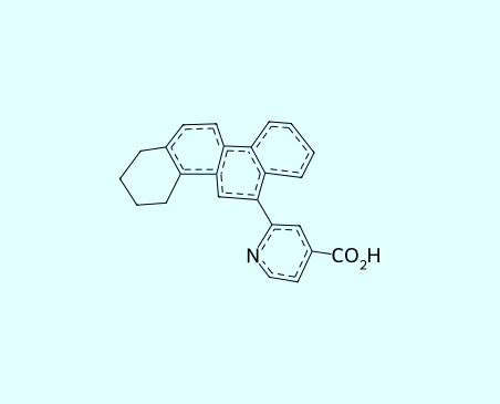 O=C(O)c1ccnc(-c2cc3c4c(ccc3c3ccccc23)CCCC4)c1